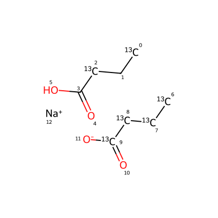 [13CH3]C[13CH2]C(=O)O.[13CH3][13CH2][13CH2][13C](=O)[O-].[Na+]